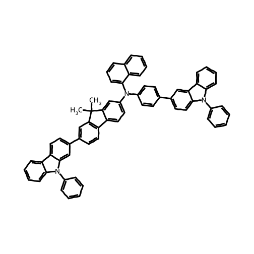 CC1(C)c2cc(-c3ccc4c5ccccc5n(-c5ccccc5)c4c3)ccc2-c2ccc(N(c3ccc(-c4ccc5c(c4)c4ccccc4n5-c4ccccc4)cc3)c3cccc4ccccc34)cc21